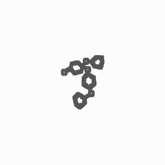 O=C1C=CC(Oc2ccccc2)(Oc2ccc(Oc3ccccc3)cc2)C=C1